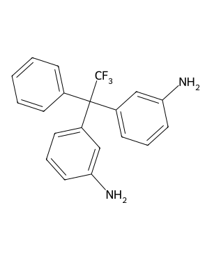 Nc1cccc(C(c2ccccc2)(c2cccc(N)c2)C(F)(F)F)c1